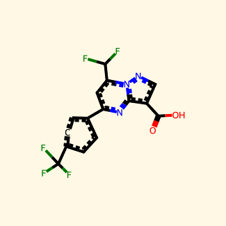 O=C(O)c1cnn2c(C(F)F)cc(-c3ccc(C(F)(F)F)cc3)nc12